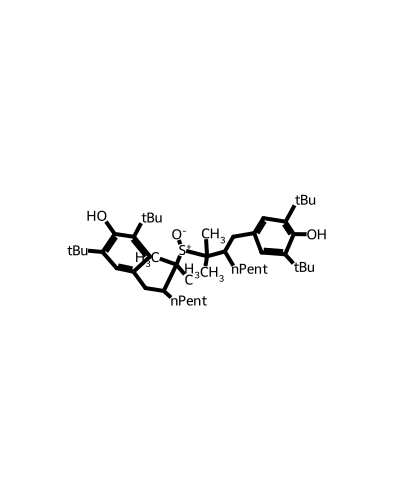 CCCCCC(Cc1cc(C(C)(C)C)c(O)c(C(C)(C)C)c1)C(C)(C)[S+]([O-])C(C)(C)C(CCCCC)Cc1cc(C(C)(C)C)c(O)c(C(C)(C)C)c1